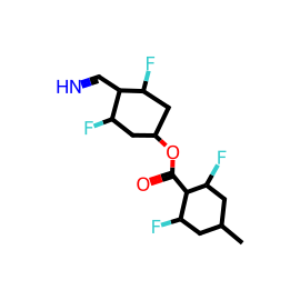 CC1CC(F)C(C(=O)OC2CC(F)C(C=N)C(F)C2)C(F)C1